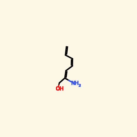 C=C/C=C\C=C(/N)CO